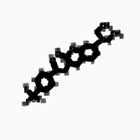 CCN(CC)c1ccc2cc(CC(=O)c3ccc(C(F)(F)F)cc3)c(=O)oc2c1